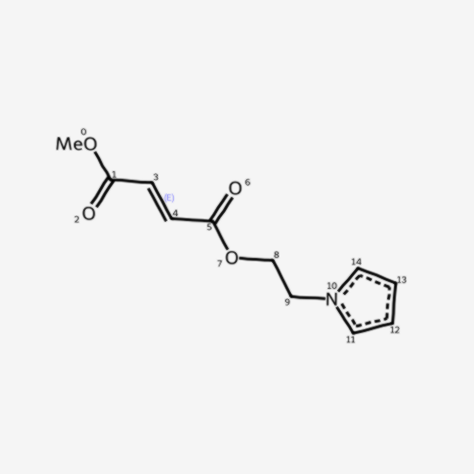 COC(=O)/C=C/C(=O)OCCn1cccc1